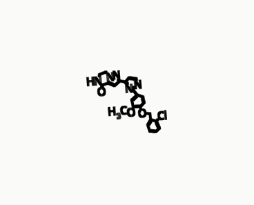 COc1cc(-c2nccc(-c3cc4n(n3)CCNC4=O)n2)ccc1OCc1ccccc1Cl